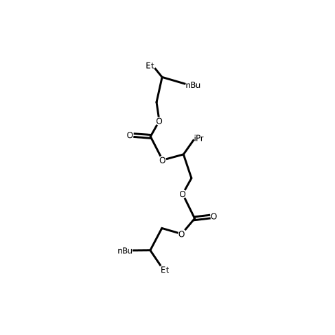 CCCCC(CC)COC(=O)OCC(OC(=O)OCC(CC)CCCC)C(C)C